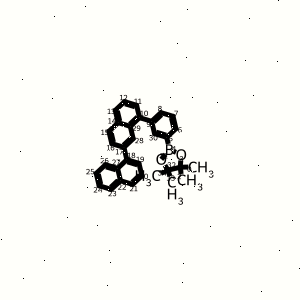 CC1(C)OB(c2cccc(-c3cccc4ccc(-c5cccc6ccccc56)cc34)c2)OC1(C)C